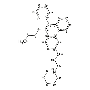 CCCCC(=C(c1[c]cccc1)c1[c]cccc1)c1ccc(OCCN2CCCCC2)cc1